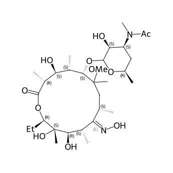 CC[C@H]1OC(=O)[C@H](C)[C@@H](O)[C@H](C)[C@H](OC2O[C@H](C)C[C@H](N(C)C(C)=O)[C@@H]2O)C(C)(OC)C[C@H](C)/C(=N\O)[C@H](C)[C@@H](O)[C@]1(C)O